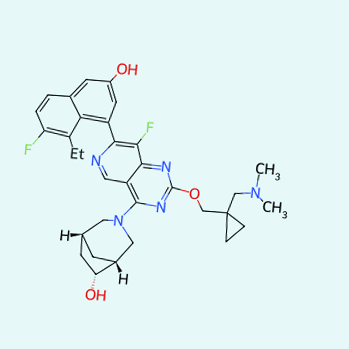 CCc1c(F)ccc2cc(O)cc(-c3ncc4c(N5C[C@@H]6C[C@H](C5)[C@H](O)C6)nc(OCC5(CN(C)C)CC5)nc4c3F)c12